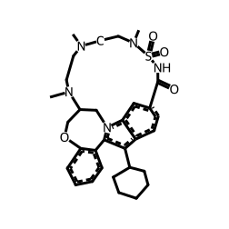 CN1CCN(C)C2COc3ccccc3-c3c(C4CCCCC4)c4ccc(cc4n3C2)C(=O)NS(=O)(=O)N(C)CC1